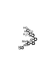 COc1nc(-c2cccc(-c3cccc(-c4ccn5c(=O)c(C6=NCC(O)CN6)c(C)nc5c4)c3Cl)c2Cl)ccc1CNC[C@@H]1CCC(=O)N1